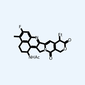 CCC1C(=O)OCc2c1cc1n(c2=O)Cc2c-1nc1cc(F)c(C)c3c1c2C(NC(C)=O)CC3